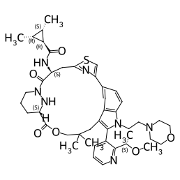 CO[C@@H](C)c1ncccc1-c1c2c3cc(ccc3n1CCN1CCOCC1)-c1csc(n1)C[C@H](NC(=O)[C@H]1[C@H](C)[C@@H]1C)C(=O)N1CCC[C@H](N1)C(=O)OCC(C)(C)C2